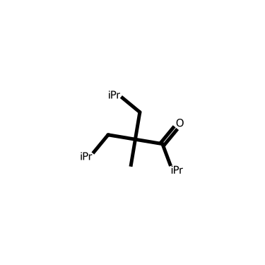 CC(C)CC(C)(CC(C)C)C(=O)C(C)C